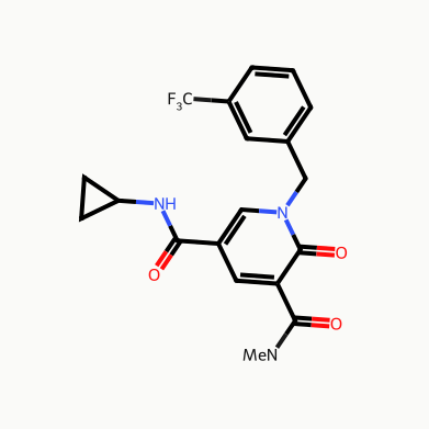 CNC(=O)c1cc(C(=O)NC2CC2)cn(Cc2cccc(C(F)(F)F)c2)c1=O